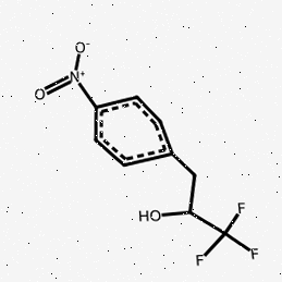 O=[N+]([O-])c1ccc(CC(O)C(F)(F)F)cc1